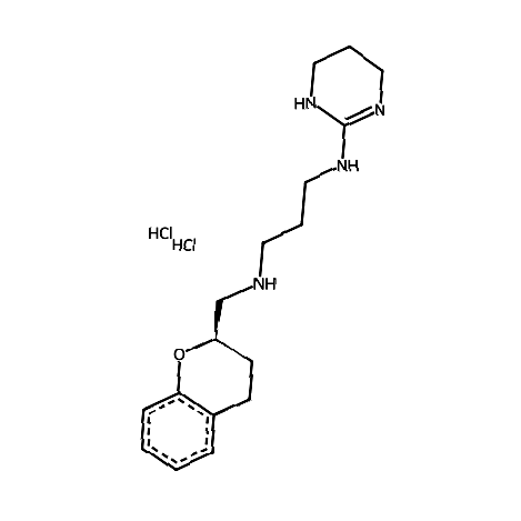 Cl.Cl.c1ccc2c(c1)CC[C@H](CNCCCNC1=NCCCN1)O2